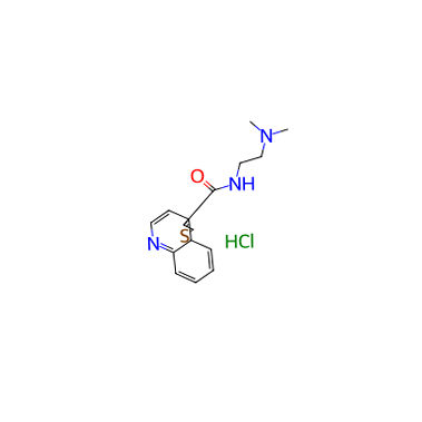 CN(C)CCNC(=O)C1=C2C=CN=C3C=CC=CC32SC1.Cl